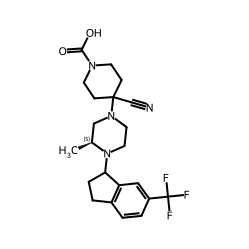 C[C@H]1CN(C2(C#N)CCN(C(=O)O)CC2)CCN1C1CCc2ccc(C(F)(F)F)cc21